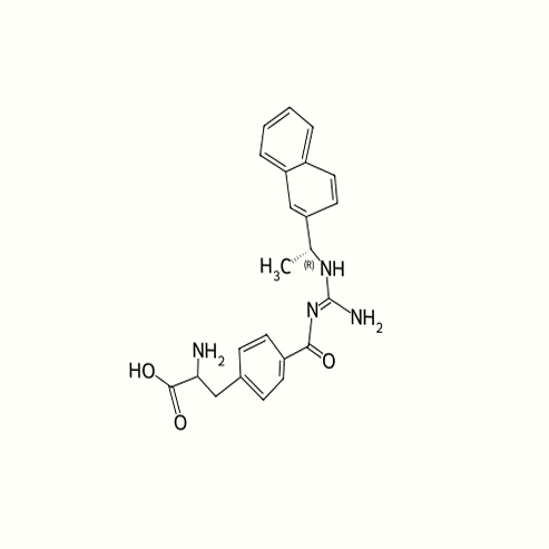 C[C@@H](NC(N)=NC(=O)c1ccc(CC(N)C(=O)O)cc1)c1ccc2ccccc2c1